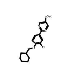 CCCCCCCCCCc1cnc(-c2ccc(OCC3CC[CH]CC3)c(Cl)c2)nc1